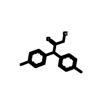 Cc1ccc(C(C(=O)CCl)c2ccc(C)cc2)cc1